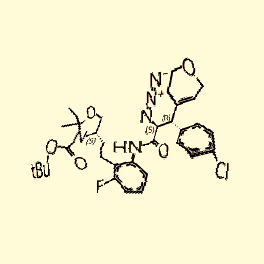 CC(C)(C)OC(=O)N1[C@@H](CCc2c(F)cccc2NC(=O)[C@@H](N=[N+]=[N-])[C@H](C2=CCOCC2)c2ccc(Cl)cc2)COC1(C)C